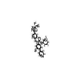 CN1CCCC(n2c(=O)n(Cc3ccc(-c4nnc(C(F)F)o4)cn3)c3cc(F)c(-c4ccncc4)cc32)C1